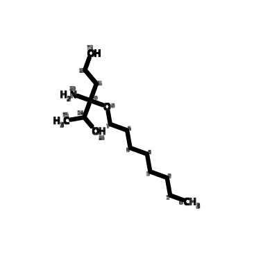 CCCCCCCCOC(N)(CCO)C(C)O